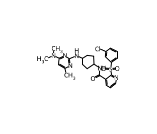 Cc1cc(N(C)C)nc(NC2CCC(NC(=O)c3cccnc3S(=O)(=O)c3cccc(Cl)c3)CC2)n1